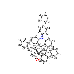 c1ccc(-c2ccc(N(c3ccc(-c4ccccc4)cc3)c3cccc4c3-c3ccccc3C43c4ccccc4-c4ccc5oc6ccccc6c5c43)cc2)cc1